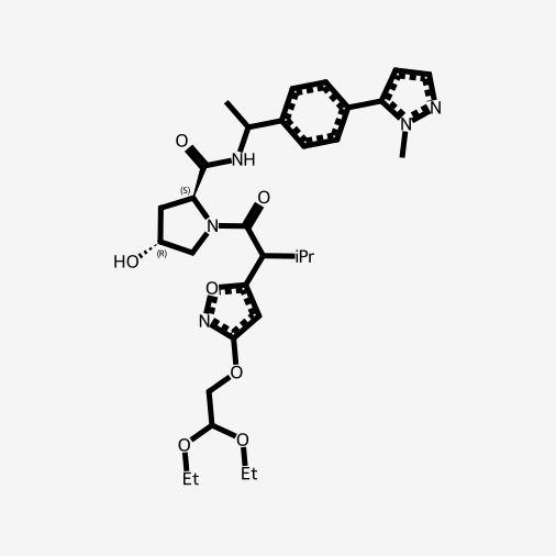 CCOC(COc1cc(C(C(=O)N2C[C@H](O)C[C@H]2C(=O)NC(C)c2ccc(-c3ccnn3C)cc2)C(C)C)on1)OCC